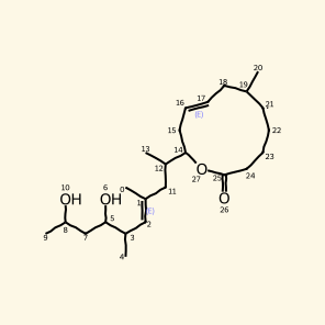 C/C(=C\C(C)C(O)CC(C)O)CC(C)C1C/C=C/CC(C)[CH]CCCC(=O)O1